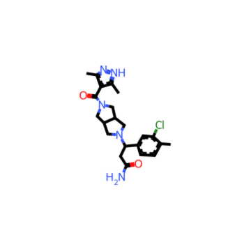 Cc1ccc(C(CC(N)=O)N2CC3CN(C(=O)c4c(C)n[nH]c4C)CC3C2)cc1Cl